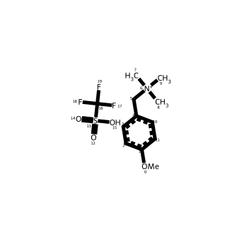 COc1ccc(C[N+](C)(C)C)cc1.O=S(=O)(O)C(F)(F)F